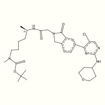 C[C@H](CCCCN(C)C(=O)OC(C)(C)C)NC(=O)CN1Cc2ccc(-c3nc(NC4CCOCC4)ncc3Cl)cc2C1=O